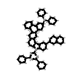 c1ccc(-c2nc(-c3ccccc3)nc(-n3c4ccc(-c5ccc6ccccc6c5)cc4c4c5cc6c7ccc(N(c8ccccc8)c8ccccc8)cc7c7ccccc7c6cc5ccc43)n2)cc1